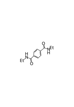 CCNC(=O)c1ccc(C(=O)NCC)cc1